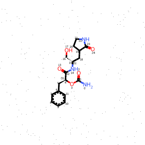 NC(=O)O[C@@H](Cc1ccccc1)C(=O)N[C@H](CO)CC1CCNC1=O